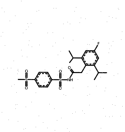 CC(C)c1cc(F)cc(C(C)C)c1CC(=O)NS(=O)(=O)c1ccc(S(C)(=O)=O)cc1